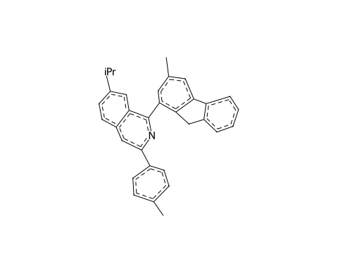 Cc1ccc(-c2cc3ccc(C(C)C)cc3c(-c3cc(C)cc4c3Cc3ccccc3-4)n2)cc1